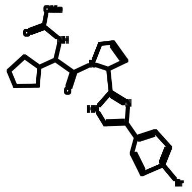 COC(=O)NC(C(=O)N1CC=CC1c1nc(-c2ccc(Br)cc2)c[nH]1)C1CCCC1